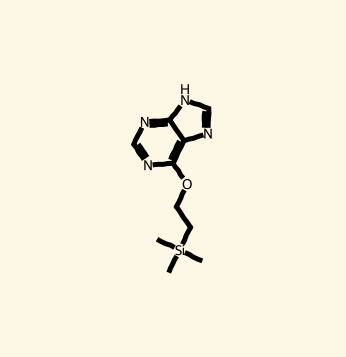 C[Si](C)(C)CCOc1ncnc2[nH]cnc12